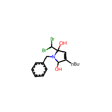 CCCCC1=CC(O)(C(Br)Br)N(Cc2ccccc2)C1O